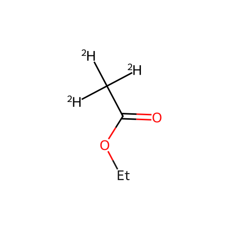 [2H]C([2H])([2H])C(=O)OCC